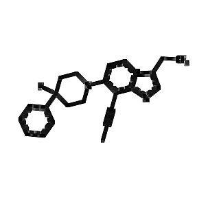 CC#Cc1c(N2CCC(F)(c3ccccc3)CC2)ccn2c(CC(F)(F)F)cnc12